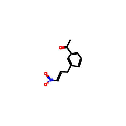 CC(=O)c1cccc(CC=C[N+](=O)[O-])c1